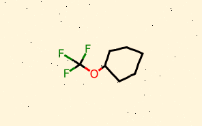 FC(F)(F)O[C]1CCCCC1